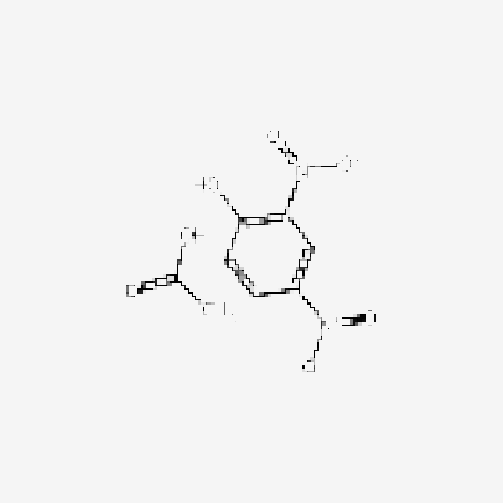 CC(=O)O.O=[N+]([O-])c1ccc(O)c([N+](=O)[O-])c1